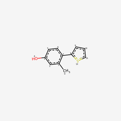 Cc1cc(O)ccc1-c1cccs1